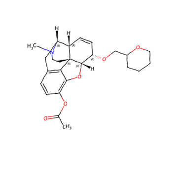 CC(=O)Oc1ccc2c3c1O[C@H]1[C@@H](OCC4CCCCO4)C=C[C@H]4[C@@H](C2)N(C)CC[C@@]341